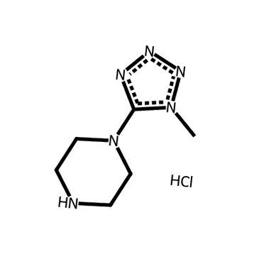 Cl.Cn1nnnc1N1CCNCC1